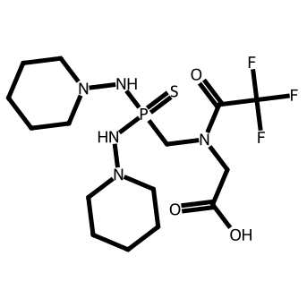 O=C(O)CN(CP(=S)(NN1CCCCC1)NN1CCCCC1)C(=O)C(F)(F)F